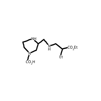 CCOC(=O)C(CC)CNCC1CN(C(=O)O)CCN1